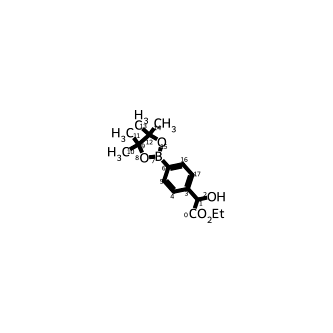 CCOC(=O)C(O)c1ccc(B2OC(C)(C)C(C)(C)O2)cc1